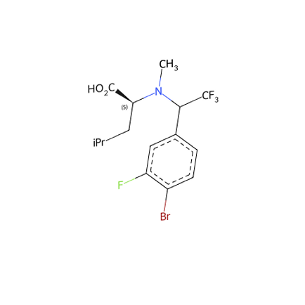 CC(C)C[C@@H](C(=O)O)N(C)C(c1ccc(Br)c(F)c1)C(F)(F)F